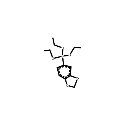 CCO[Si](OCC)(OCC)c1ccc2c(c1)OCO2